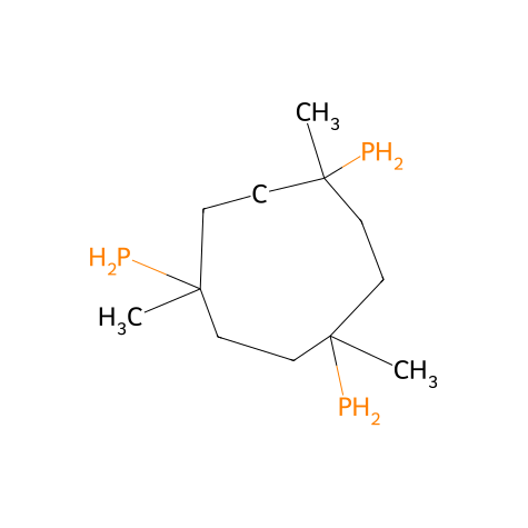 CC1(P)CCC(C)(P)CCC(C)(P)CC1